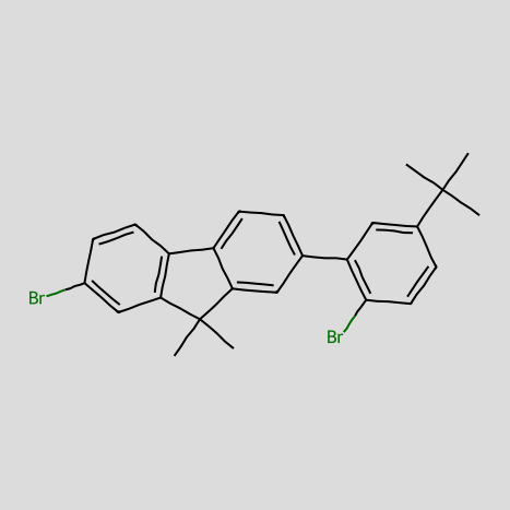 CC(C)(C)c1ccc(Br)c(-c2ccc3c(c2)C(C)(C)c2cc(Br)ccc2-3)c1